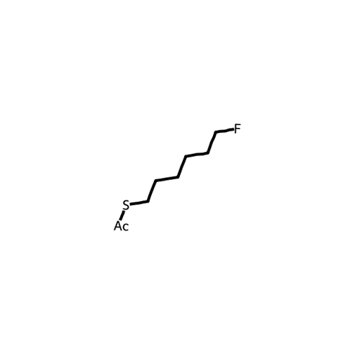 CC(=O)SCCCCCCF